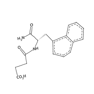 NC(=O)[C@H](Cc1cccc2ccccc12)NC(=O)CCC(=O)O